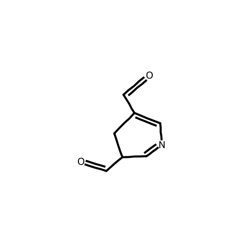 O=CC1=CN=CC(C=O)C1